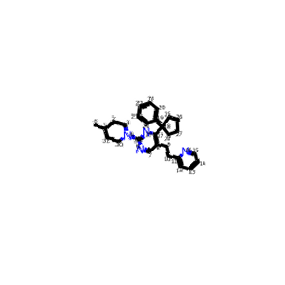 CC1CCN(c2ncc(CCc3ccccn3)c(C3(c4ccccc4)CCCC3)n2)CC1